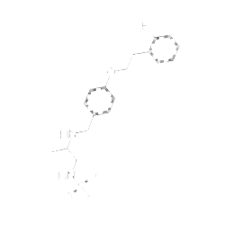 CC(CNS(C)(=O)=O)NCc1ccc(OCCc2ccccc2F)cc1